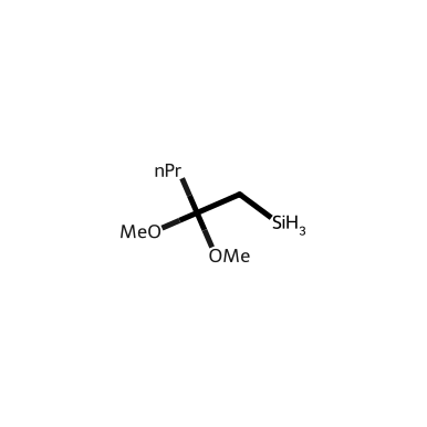 CCCC(C[SiH3])(OC)OC